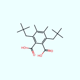 Cc1c(C)c(CC(C)(C)C)c(C(=O)O)c(C(=O)O)c1CC(C)(C)C